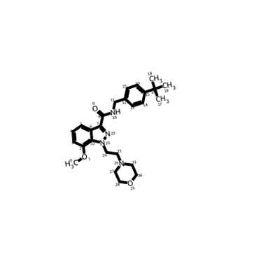 COc1cccc2c(C(=O)NCc3ccc(C(C)(C)C)cc3)nn(CCN3CCOCC3)c12